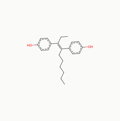 CCCCCC/C(=C(/CC)c1ccc(O)cc1)c1ccc(O)cc1